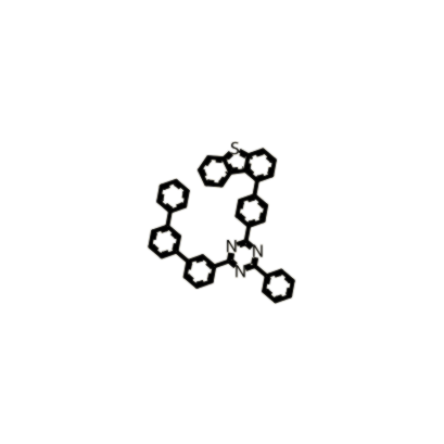 c1ccc(-c2cccc(-c3cccc(-c4nc(-c5ccccc5)nc(-c5ccc(-c6cccc7sc8ccccc8c67)cc5)n4)c3)c2)cc1